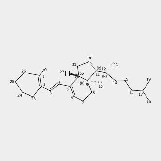 CC1=C(C=CC2=CCC[C@]3(C)[C@@H]([C@H](C)CCCC(C)C)CC[C@@H]23)CCCC1